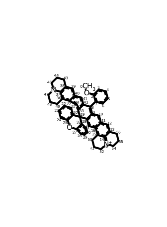 COc1ccccc1C1=c2cc3cc4c5c(c3cc2C2(c3ccccc3Oc3ccccc32)c2cc3c6c7c(cc3cc21)CCCN7CCC6)CCC[N+]=5CCC4